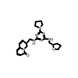 O=c1cccc2n1CC(CNc1nc(NCC3CCCO3)nc(N3CCCC3)n1)C=C2